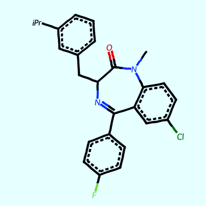 CC(C)c1cccc(CC2N=C(c3ccc(F)cc3)c3cc(Cl)ccc3N(C)C2=O)c1